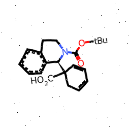 CC(C)(C)OC(=O)N1CCc2ccccc2[C@@H]1C1(C(=O)O)C=CC=CC1